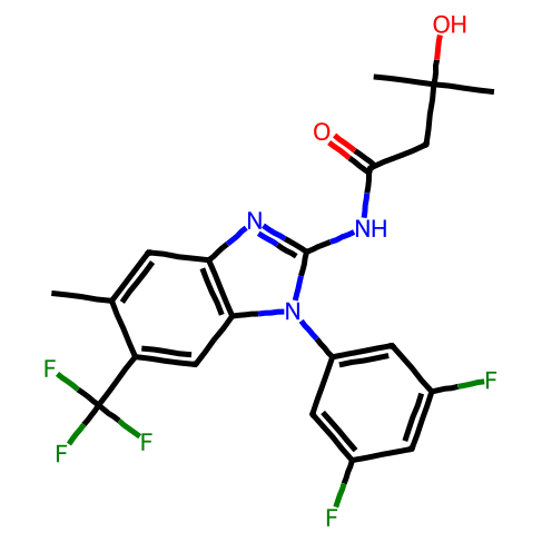 Cc1cc2nc(NC(=O)CC(C)(C)O)n(-c3cc(F)cc(F)c3)c2cc1C(F)(F)F